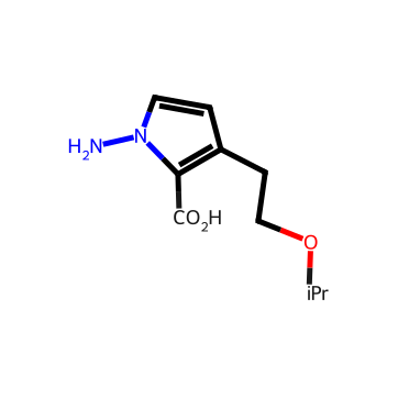 CC(C)OCCc1ccn(N)c1C(=O)O